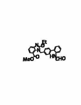 CCOc1nc2cccc(C(=O)OC)c2n1Cc1ccc(-c2ccccc2NC=O)cc1